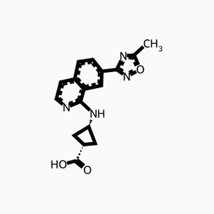 Cc1nc(-c2ccc3ccnc(N[C@H]4C[C@@H](C(=O)O)C4)c3c2)no1